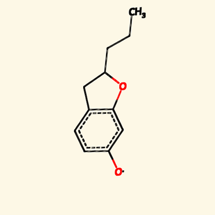 CCCC1Cc2ccc([O])cc2O1